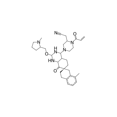 C=CC(=O)N1CCN(C2NC(OCC3CCCN3C)NC3C(=O)[C@]4(CCc5cccc(C)c5C4)CCC32)CC1CC#N